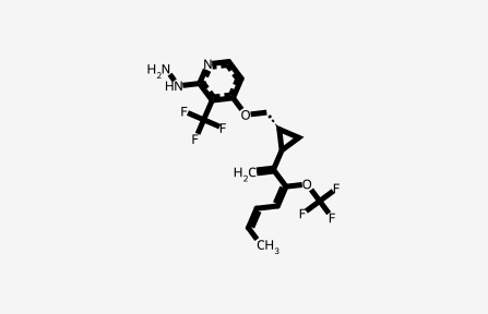 C=C(/C(=C\C=C/C)OC(F)(F)F)C1C[C@H]1COc1ccnc(NN)c1C(F)(F)F